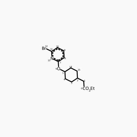 CCOC(=O)CC1CCC(Oc2cccc(Br)n2)CC1